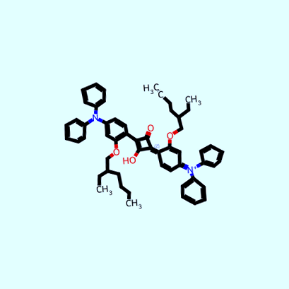 CCCCC(CC)COC1=CC(=[N+](c2ccccc2)c2ccccc2)C=C/C1=C1/C(=O)C(c2ccc(N(c3ccccc3)c3ccccc3)cc2OCC(CC)CCCC)=C1O